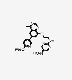 COc1ccc(-c2cc(OCCN(C)C3=NCC(=NO)C=N3)c3ncnc(C)c3c2)cn1